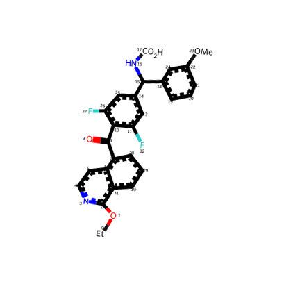 CCOc1nccc2c(C(=O)c3c(F)cc(C(NC(=O)O)c4cccc(OC)c4)cc3F)cccc12